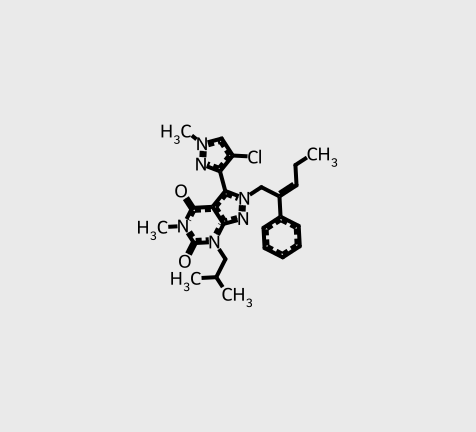 CC/C=C(\Cn1nc2c(c1-c1nn(C)cc1Cl)c(=O)n(C)c(=O)n2CC(C)C)c1ccccc1